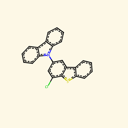 Clc1cc(-n2c3ccccc3c3ccccc32)cc2c1sc1ccccc12